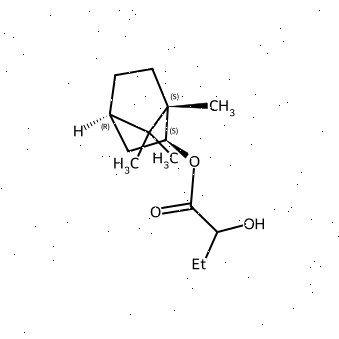 CCC(O)C(=O)O[C@H]1C[C@H]2CC[C@@]1(C)C2(C)C